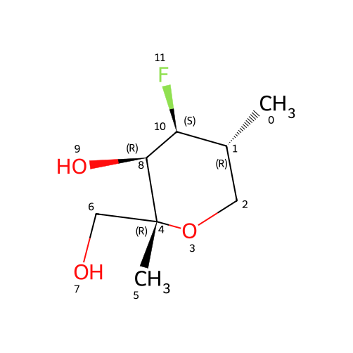 C[C@@H]1CO[C@](C)(CO)[C@@H](O)[C@H]1F